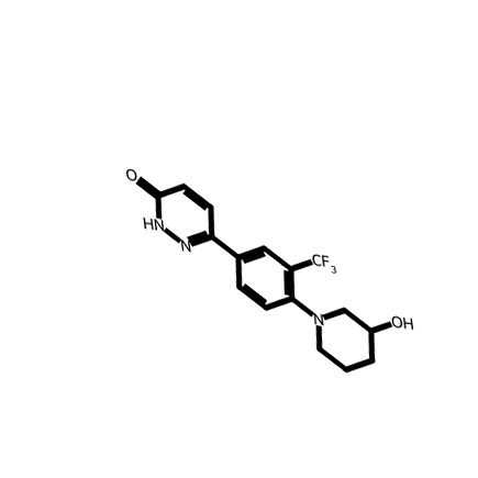 O=c1ccc(-c2ccc(N3CCCC(O)C3)c(C(F)(F)F)c2)n[nH]1